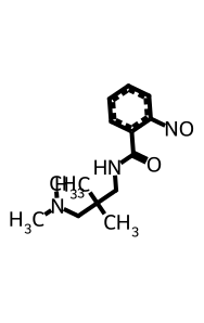 CN(C)CC(C)(C)CNC(=O)c1ccccc1N=O